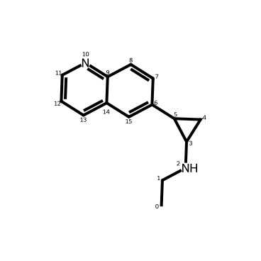 CCNC1CC1c1ccc2ncccc2c1